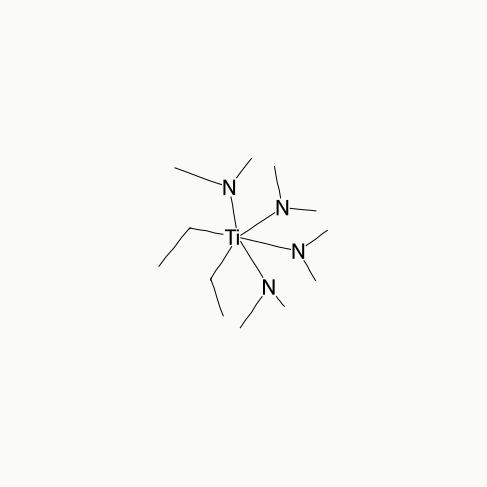 C[CH2][Ti]([CH2]C)([N](C)C)([N](C)C)([N](C)C)[N](C)C